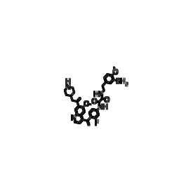 Bc1cc(CCNC(=O)C(=O)Nc2ccc(C(=C)c3ccnc4cc(C(=C)CC5CCNCC5)c(OC)cc34)c(F)c2)ccc1OC